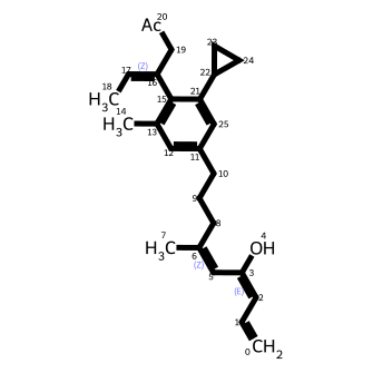 C=C/C=C(O)\C=C(\C)CCCc1cc(C)c(/C(=C\C)CC(C)=O)c(C2CC2)c1